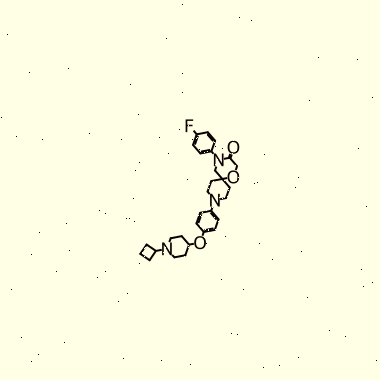 O=C1COC2(CCN(c3ccc(OC4CCN(C5CCC5)CC4)cc3)CC2)CN1c1ccc(F)cc1